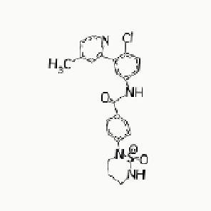 Cc1ccnc(-c2cc(NC(=O)c3ccc(N4CCCNS4(=O)=O)cc3)ccc2Cl)c1